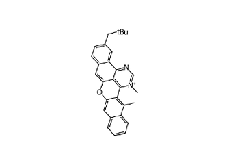 Cc1c2c(cc3ccccc13)Oc1cc3ccc(CC(C)(C)C)cc3c3nc[n+](C)c-2c13